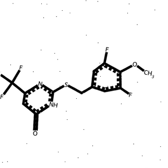 COc1c(F)cc(CSc2nc(C(F)(F)F)cc(=O)[nH]2)cc1F